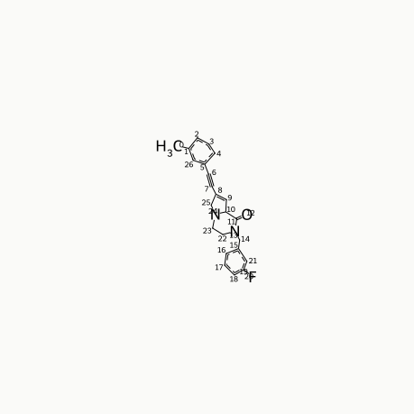 Cc1cccc(C#CC2=CC3C(=O)N(Cc4cccc(F)c4)CCN3C2)c1